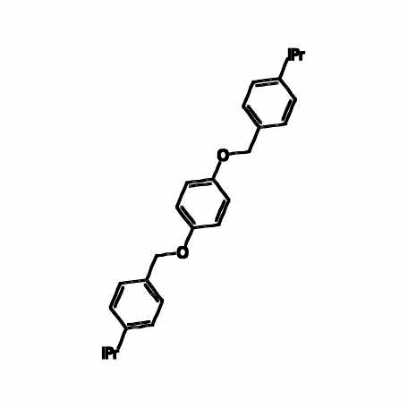 CC(C)c1ccc(COc2ccc(OCc3ccc(C(C)C)cc3)cc2)cc1